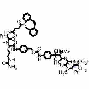 CNC(C(=O)N[C@H](C(=O)N(C)[C@H](/C=C(\C)C(=O)O)C(C)C)C(C)(C)C)C(C)(C)c1ccc(NC(=O)OCc2ccc(NC(=O)[C@H](CCCNC(N)=O)NC(=O)[C@@H](NC(=O)CCC(=O)N3Cc4ccccc4C#Cc4ccccc43)C(C)C)cc2)cc1